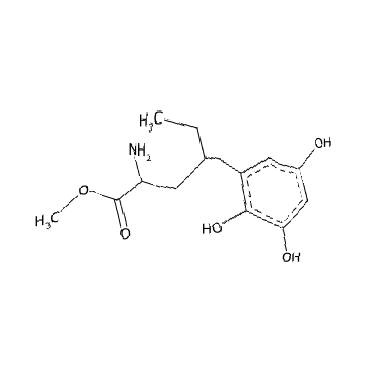 CCC(CC(N)C(=O)OC)c1cc(O)cc(O)c1O